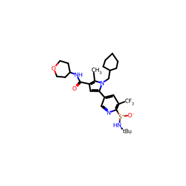 Cc1c(C(=O)NC2CCOCC2)cc(-c2cnc([S+]([O-])NC(C)(C)C)c(C(F)(F)F)c2)n1CC1CCCCC1